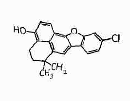 CC1(C)CCc2c(O)ccc3c2c1cc1c2ccc(Cl)cc2oc31